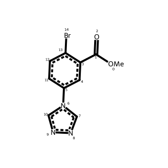 COC(=O)c1cc(-n2cnnc2)ccc1Br